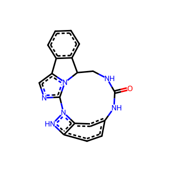 O=C1NCC2c3ccccc3-c3cnc(n32)-n2[nH]c3ccc(cc32)N1